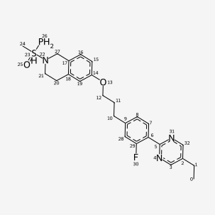 CCc1cnc(-c2ccc(CCCOc3ccc4c(c3)CCN([SH](C)(=O)P)C4)cc2F)nc1